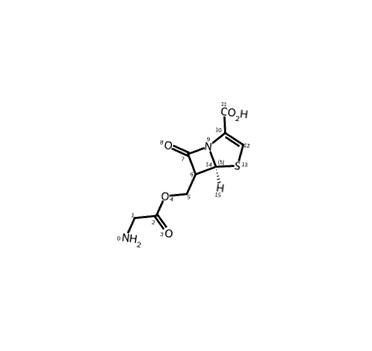 NCC(=O)OCC1C(=O)N2C(C(=O)O)=CS[C@@H]12